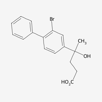 CC(O)(CCC(=O)O)c1ccc(-c2ccccc2)c(Br)c1